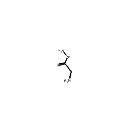 NCC(=O)[N+]N